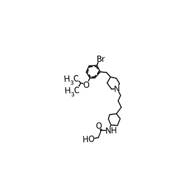 CC(C)Oc1ccc(Br)c(CC2CCN(CCCC3CCC(NC(=O)CO)CC3)CC2)c1